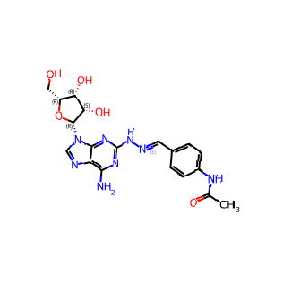 CC(=O)Nc1ccc(/C=N/Nc2nc(N)c3ncn([C@@H]4O[C@H](CO)[C@H](O)[C@@H]4O)c3n2)cc1